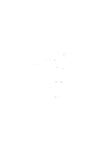 Fc1cc(OC2CCOCC2)c(C2CCNCC2)cc1F